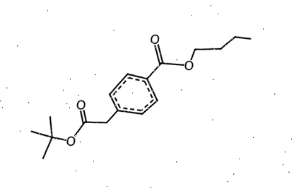 CCCCOC(=O)c1ccc(CC(=O)OC(C)(C)C)cc1